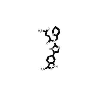 NC(=O)CCC(=O)N(Cc1ccccn1)c1ncc(-c2ccc3c(N)n[nH]c3c2)[nH]1